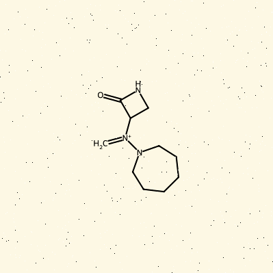 C=[N+](C1CNC1=O)N1CCCCCC1